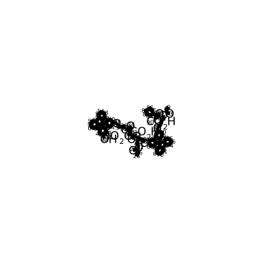 C=CC(=O)OCC(COc1ccc(C2(c3ccc(OCC(COC(=O)C=C)OC(=O)C(C(=O)O)(C(=O)O)C(=O)OCCOc4ccc(C5(c6ccc(O)cc6)c6ccccc6-c6ccccc65)cc4)cc3)c3ccccc3-c3ccccc32)cc1)OC(=O)c1ccccc1C(=O)O